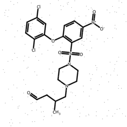 CC(CC=O)CN1CCN(S(=O)(=O)c2cc([N+](=O)[O-])ccc2Oc2cc(Cl)ccc2Cl)CC1